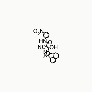 Cn1nc(/C(O)=C(\C#N)C(=O)Nc2cccc([N+](=O)[O-])c2)c2c1-c1cccc3c1C2CCC3